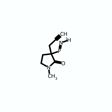 [1H]/N=P/C1(CC#C)CCN(C)C1=O